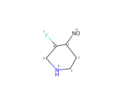 O=NC1CCNCC1F